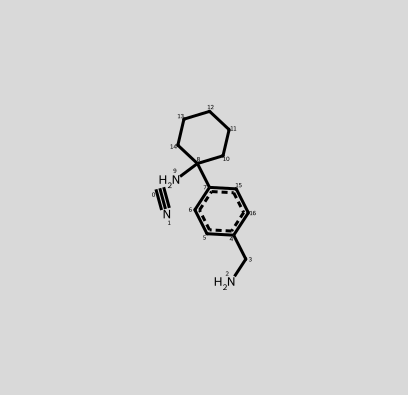 C#N.NCc1ccc(C2(N)CCCCC2)cc1